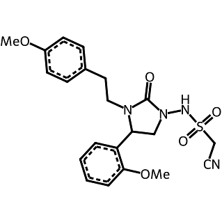 COc1ccc(CCN2C(=O)N(NS(=O)(=O)CC#N)CC2c2ccccc2OC)cc1